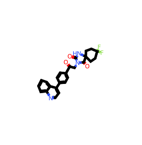 O=C(CN1C(=O)NC2(CCC(F)(F)CC2)C1=O)c1ccc(-c2ccnc3ccccc23)cc1